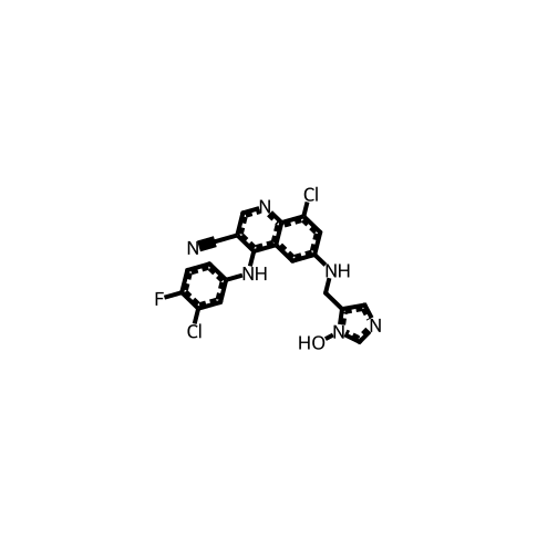 N#Cc1cnc2c(Cl)cc(NCc3cncn3O)cc2c1Nc1ccc(F)c(Cl)c1